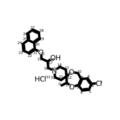 CC1Oc2ccc(Cl)cc2COC12CCN(CC(O)COc1cccc3ccccc13)CC2.Cl